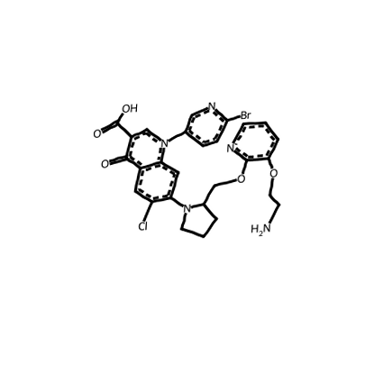 NCCOc1cccnc1OCC1CCCN1c1cc2c(cc1Cl)c(=O)c(C(=O)O)cn2-c1ccc(Br)nc1